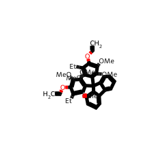 C=COc1c(CC)c(OC)c(C2(c3c(OC)c(CC)c(OC=C)c(OC)c3OC)c3ccccc3-c3ccccc32)c(OC)c1OC